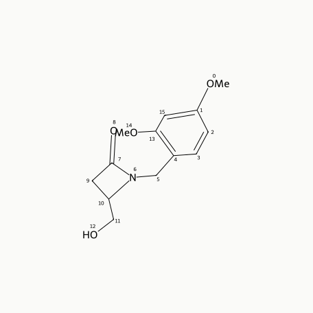 COc1ccc(CN2C(=O)CC2CO)c(OC)c1